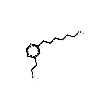 CCCCCCCc1cc(CCC)ccn1